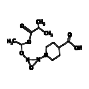 CC(OC(=O)C(C)C)On1on1N1CCC(C(=O)O)CC1